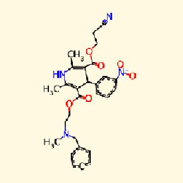 CC1=C(C(=O)OCCC#N)C(c2cccc([N+](=O)[O-])c2)C(C(=O)OCCN(C)Cc2ccccc2)=C(C)N1